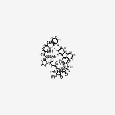 CC[C@H](C)[C@@H]([C@@H](CC(=O)N1CCC[C@H]1[C@H](OC)[C@@H](C)C(=S)N[C@@H](Cc1ccccc1)C(=O)OC)OC)N(C)[C@H](C(=O)NC(=O)C(C)(C)N(C)C(=O)OCC1c2ccccc2-c2ccccc21)C(C)C